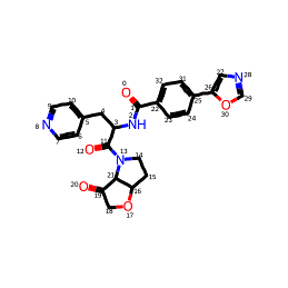 O=C(NC(Cc1ccncc1)C(=O)N1CCC2OCC(=O)C21)c1ccc(-c2cnco2)cc1